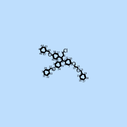 ClCC/C(=C(\c1ccc(OCCOCc2ccccc2)cc1)c1ccc(OCc2ccccc2)cc1)c1ccc(OCc2ccccc2)cc1